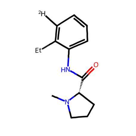 [2H]c1cccc(NC(=O)[C@@H]2CCCN2C)c1CC